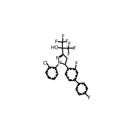 OC(C1=NN(c2ccccc2Cl)C(c2ccc(-c3ccc(F)cc3)cc2F)C1)(C(F)(F)F)C(F)(F)F